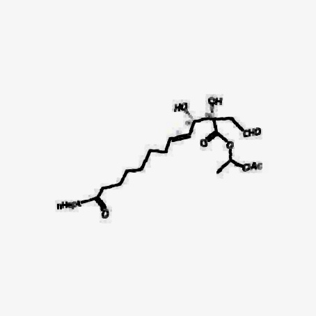 CCCCCCCC(=O)CCCCCC/C=C/[C@H](O)[C@@](O)(CC=O)C(=O)OC(C)OC(C)=O